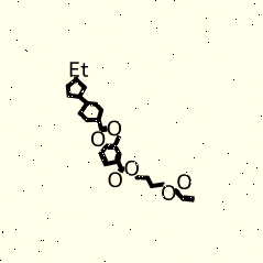 C=CC(=O)OCCCCOC(=O)c1ccc(OC(=O)C2CCC(C3CCC(CC)C3)CC2)c(C)c1